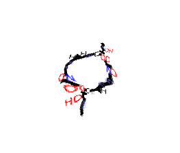 C/C=C/[C@H](O)C(C)(C)[C@@H]1C/C=C\[C@H]2C[C@H]2/C=C/C=C\c2nc(co2)C(=O)O[C@H](C(C)(C)[C@@H](O)/C=C/C)C/C=C\C2C[C@H]2/C=C/C=C\c2nc(co2)C(=O)O1